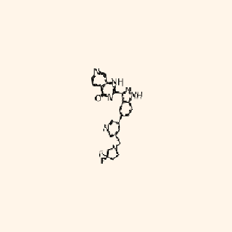 O=c1nc(-c2n[nH]c3ccc(-c4cncc(CN5CCC(F)(F)C5)c4)cc23)[nH]c2cnccc12